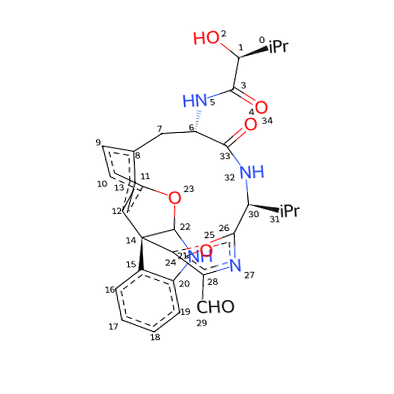 CC(C)[C@H](O)C(=O)N[C@H]1Cc2ccc3c(c2)[C@@]2(c4ccccc4NC2O3)c2oc(nc2C=O)[C@H](C(C)C)NC1=O